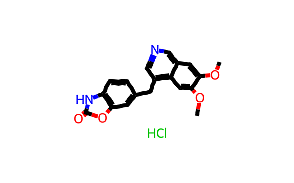 COc1cc2cncc(Cc3ccc4[nH]c(=O)oc4c3)c2cc1OC.Cl